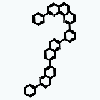 c1ccc(-c2ccc3ccc(-c4ccc5ccc(-c6cccc(-c7ccc8ccc9ccc(-c%10ccccc%10)nc9c8n7)c6)nc5c4)cc3n2)cc1